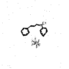 CC[N+](=CC=Cc1ccccc1)c1ccccc1.F[P-](F)(F)(F)(F)F